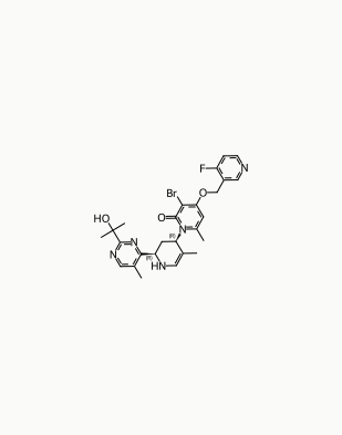 CC1=CN[C@@H](c2nc(C(C)(C)O)ncc2C)C[C@H]1n1c(C)cc(OCc2cnccc2F)c(Br)c1=O